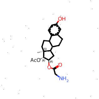 CC(=O)O[C@H]1[C@H](OC(=O)CN)CC2C3CCc4cc(O)ccc4C3CC[C@@]21C